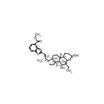 CC[C@@H]1C2C[C@H](O)CC[C@]2(C)[C@H]2CC[C@]3(C)[C@@H]([C@H](C)Cc4nc5c(C(=O)OC)cccc5o4)CC[C@H]3[C@@H]2[C@@H]1O